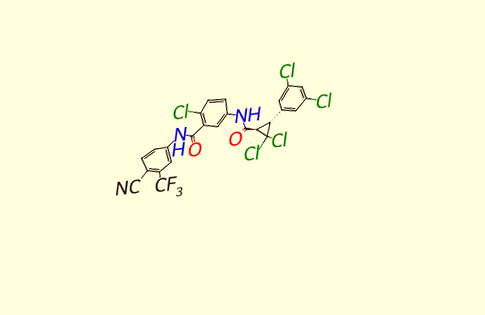 N#Cc1ccc(NC(=O)c2cc(NC(=O)[C@H]3[C@H](c4cc(Cl)cc(Cl)c4)C3(Cl)Cl)ccc2Cl)cc1C(F)(F)F